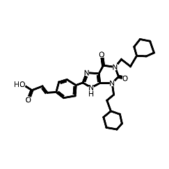 O=C(O)C=Cc1ccc(-c2nc3c(=O)n(CCC4CCCCC4)c(=O)n(CCC4CCCCC4)c3[nH]2)cc1